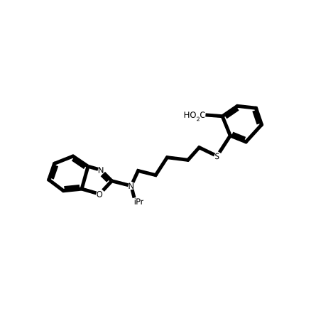 CC(C)N(CCCCCSc1ccccc1C(=O)O)c1nc2ccccc2o1